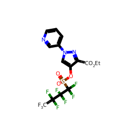 CCOC(=O)c1nn(-c2cccnc2)cc1OS(=O)(=O)C(F)(F)C(F)(F)C(F)(F)C(F)(F)F